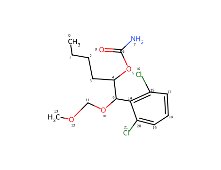 CCCCC(OC(N)=O)C(OCOC)c1c(Cl)cccc1Cl